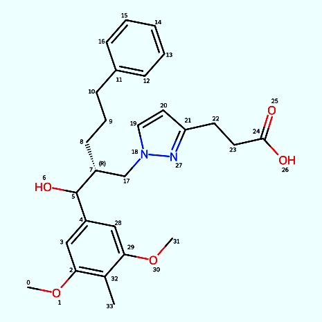 COc1cc(C(O)[C@H](CCCc2ccccc2)Cn2ccc(CCC(=O)O)n2)cc(OC)c1C